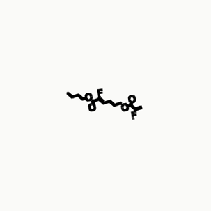 C=C(F)C(=O)OCCC/C=C(\F)C(=O)OCCCC